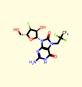 Nc1nc2c(c(=O)[nH]1)n(CC(F)(F)C(F)(F)F)c(=O)n2[C@@H]1O[C@H](CO)[C@@H](F)[C@H]1O